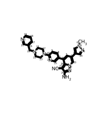 Cn1cc(-c2cc(-c3ccc(N4CCN(Cc5cccnc5)CC4)nc3)c3c(C#N)c(N)nn3c2)cn1